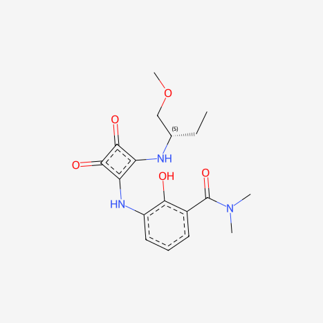 CC[C@@H](COC)Nc1c(Nc2cccc(C(=O)N(C)C)c2O)c(=O)c1=O